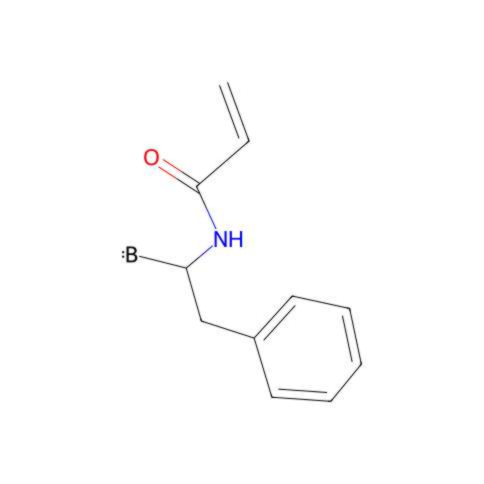 [B]C(Cc1ccccc1)NC(=O)C=C